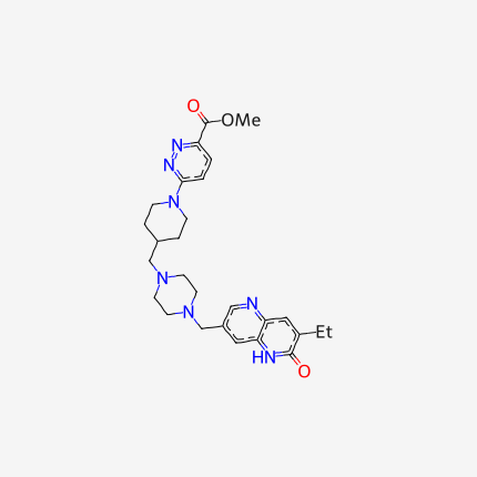 CCc1cc2ncc(CN3CCN(CC4CCN(c5ccc(C(=O)OC)nn5)CC4)CC3)cc2[nH]c1=O